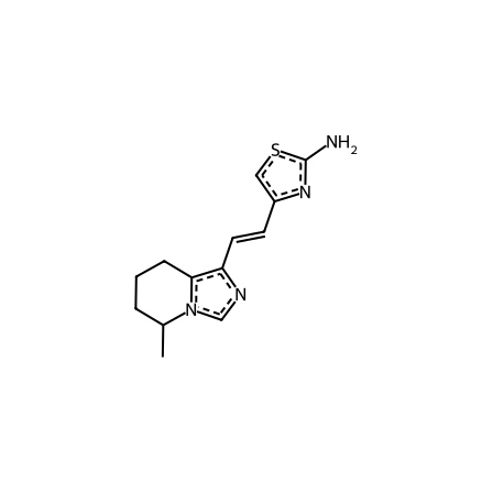 CC1CCCc2c(/C=C/c3csc(N)n3)ncn21